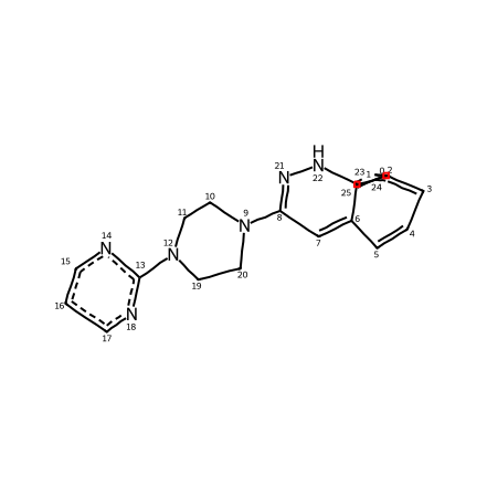 C1=CC2=CC=CC3=CC(N4CCN(c5ncccn5)CC4)=NNC23C=C1